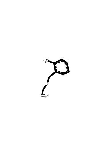 Cc1ccccc1CSCC(=O)O